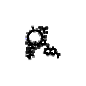 COc1ccc2c(O[C@@H]3C[C@H]4C(=O)N[C@]5(C(=O)NS(=O)(=O)C6(C)CC6)C[C@H]5/C=C\CC[C@@H](C)C[C@@H](C)[C@H](NC(=O)O)C(=O)N4C3)nccc2c1